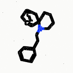 c1ccc(CCN2CCCCC23CC2CCC3CC2)cc1